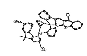 CC(C)(C)c1ccc2c(c1)C(C)(C)c1cc(C(C)(C)C)cc(N3c4ccccc4C4(c5ccccc5-c5cc6c(=O)c7ccccc7sc6cc54)c4ccccc43)c1-2